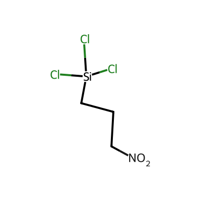 O=[N+]([O-])CCC[Si](Cl)(Cl)Cl